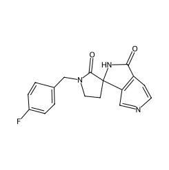 O=C1NC2(CCN(Cc3ccc(F)cc3)C2=O)c2cnccc21